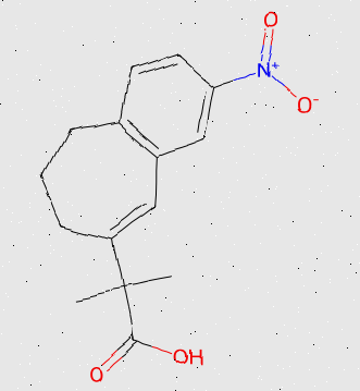 CC(C)(C(=O)O)C1=Cc2cc([N+](=O)[O-])ccc2CCC1